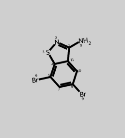 Nc1nsc2c(Br)cc(Br)cc12